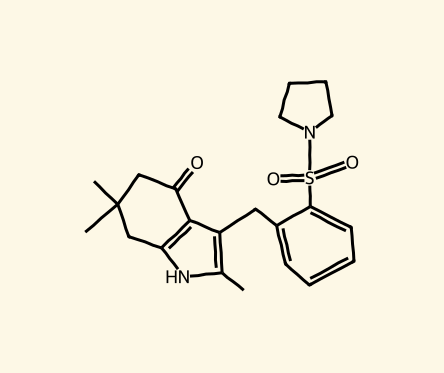 Cc1[nH]c2c(c1Cc1ccccc1S(=O)(=O)N1CCCC1)C(=O)CC(C)(C)C2